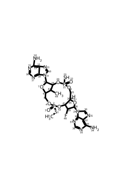 CSP1(=O)OCC2OC(n3cnc4c(N)ncnc43)C(OP(=O)(S)OC[C@H]3OC(n4cnc5c(N)ncnc54)C(F)C3O1)C2C